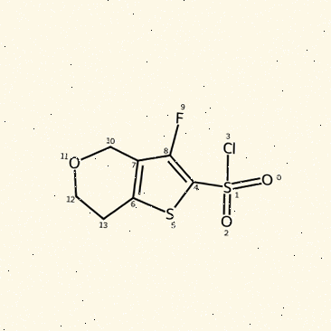 O=S(=O)(Cl)c1sc2c(c1F)COCC2